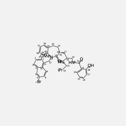 COc1ccc2cc(Br)ccc2c1CN1C(=O)[C@H](CC(CNC(=O)c2ccccc2O)NCC(C)C)CCc2ccccc21